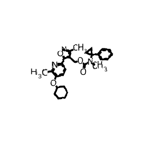 Cc1nc(-c2onc(C)c2COC(=O)N(C)C2(c3ccccc3)CC2)ccc1OC1CCCCC1